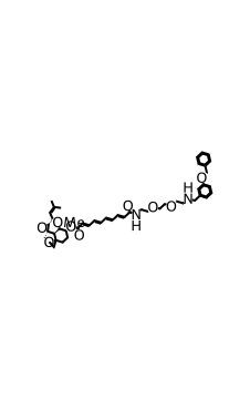 COC1C(OC(=O)/C=C/C=C/C=C/C=C/C(=O)NCCOCCOCCNCc2cccc(OCc3ccccc3)c2)CCC2(CO2)[C@H]1[C@@]1(C)O[C@@H]1CC=C(C)C